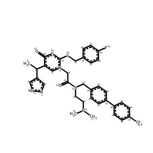 CC(c1cn[nH]c1)c1cn(CC(=O)N(CCN(C)C)Cc2ccc(-c3ccc(C(F)(F)F)cc3)cc2)c(SCc2ccc(F)cc2)nc1=O